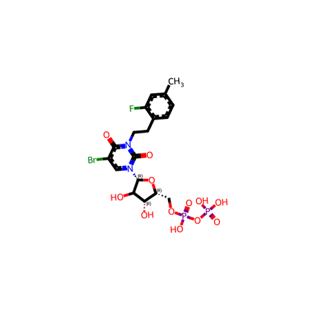 Cc1ccc(CCn2c(=O)c(Br)cn([C@@H]3O[C@H](COP(=O)(O)OP(=O)(O)O)[C@H](O)C3O)c2=O)c(F)c1